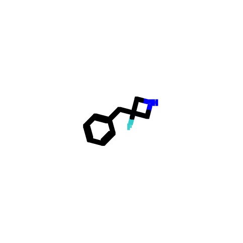 FC1(Cc2ccccc2)CNC1